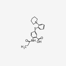 CCC(=O)Nc1ccc(Sc2ccccc2N2CCCCC2)cc1C(=O)O